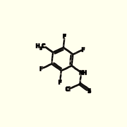 Cc1c(F)c(F)c(NC(=S)Cl)c(F)c1F